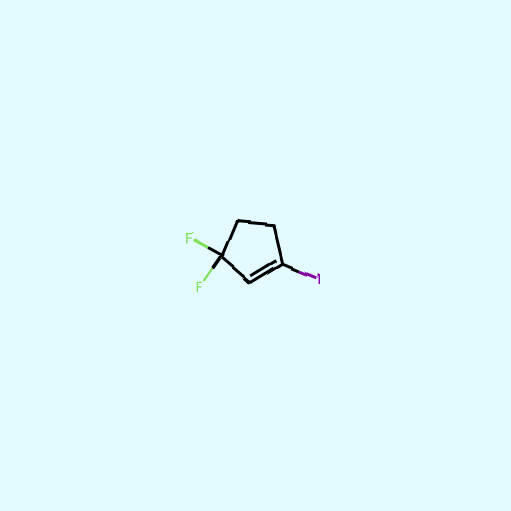 FC1(F)C=C(I)CC1